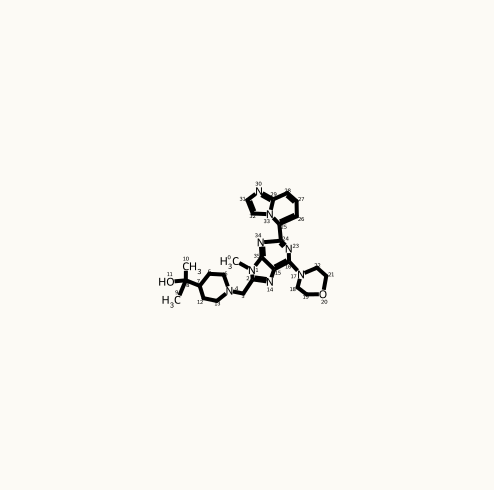 Cn1c(CN2CCC(C(C)(C)O)CC2)nc2c(N3CCOCC3)nc(-c3cccc4nccn34)nc21